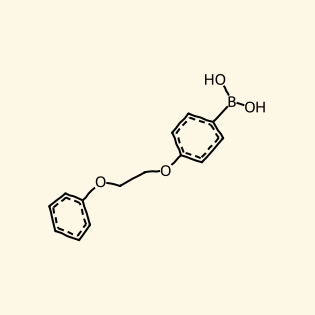 OB(O)c1ccc(OCCOc2ccccc2)cc1